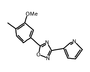 COc1cc(-c2nc(-c3cccnc3)no2)ccc1C